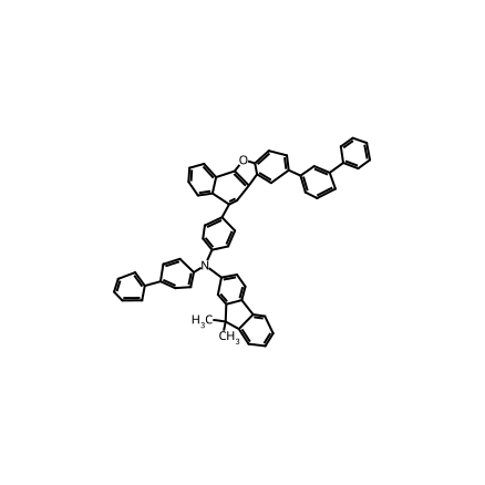 CC1(C)c2ccccc2-c2ccc(N(c3ccc(-c4ccccc4)cc3)c3ccc(-c4cc5c6cc(-c7cccc(-c8ccccc8)c7)ccc6oc5c5ccccc45)cc3)cc21